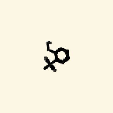 CCCCOc1cccnc1S(C)(=O)=O